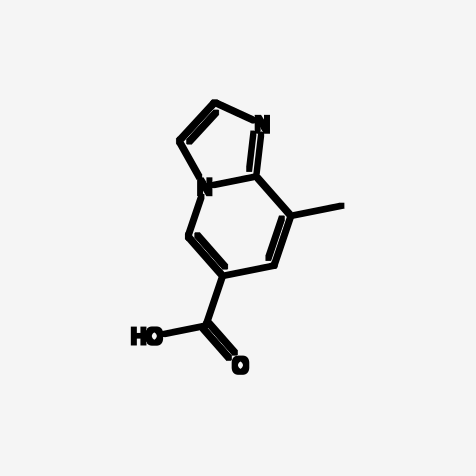 Cc1cc(C(=O)O)cn2ccnc12